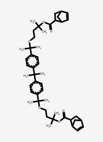 CC(C)(CCOC(C)(C)c1ccc(C(C)(C)c2ccc(C(C)(C)OCCC(C)(C)OC(=O)C3CC4C=CC3C4)cc2)cc1)OC(=O)C1CC2C=CC1C2